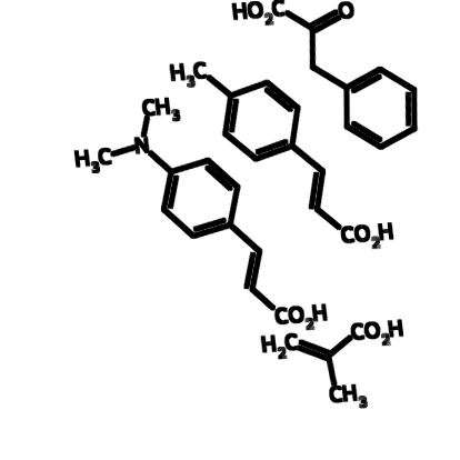 C=C(C)C(=O)O.CN(C)c1ccc(C=CC(=O)O)cc1.Cc1ccc(C=CC(=O)O)cc1.O=C(O)C(=O)Cc1ccccc1